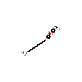 CCCCCCCCCCCCCCCCOc1ccc(C(=O)Oc2ccc(C)cc2)cc1